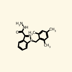 Cc1cc(C)c(Cn2nc(C(=O)NN)c3ccccc32)c(C)c1